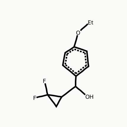 CCOc1ccc(C(O)C2CC2(F)F)cc1